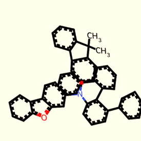 CC1(C)c2ccccc2-c2cc(N(c3ccc4c(c3)oc3ccccc34)c3cccc(-c4ccccc4)c3-c3ccccc3-c3ccccc3)ccc21